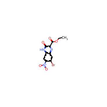 CCOC(=O)c1nc2cc(Br)c([N+](=O)[O-])cc2[nH]c1=O